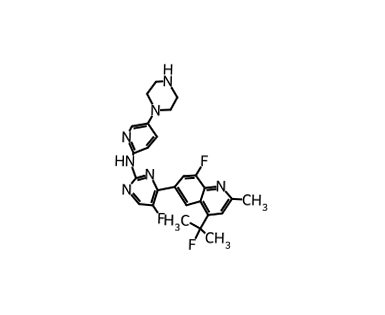 Cc1cc(C(C)(C)F)c2cc(-c3nc(Nc4ccc(N5CCNCC5)cn4)ncc3F)cc(F)c2n1